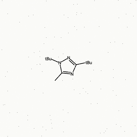 Cc1nc(C(C)(C)C)nn1C(C)(C)C